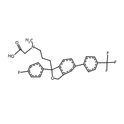 CN(CCCC1(c2ccc(F)cc2)OCc2cc(-c3ccc(C(F)(F)F)cc3)ccc21)CC(=O)O